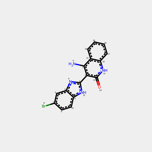 Nc1c(-c2nc3cc(Br)ccc3[nH]2)c(=O)[nH]c2ccccc12